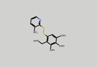 CNCc1c(SSc2ncccc2[N+](=O)[O-])cc(OC)c(OC)c1OC